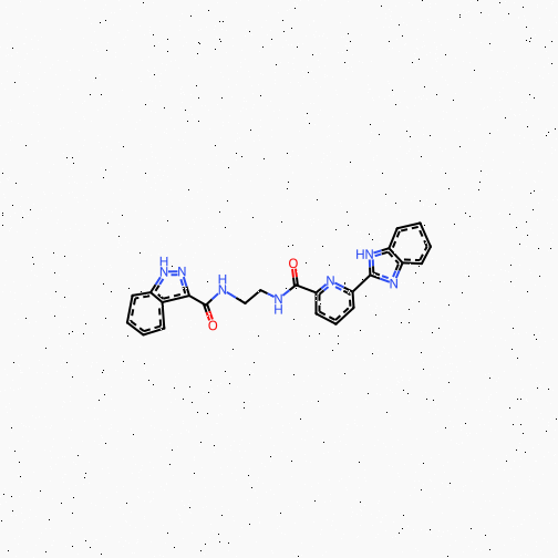 O=C(NCCNC(=O)c1n[nH]c2ccccc12)c1cccc(-c2nc3ccccc3[nH]2)n1